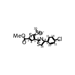 COC(=O)c1cc(-c2nc(-c3ccc(Cl)cc3)cs2)c([S+](C)[O-])s1